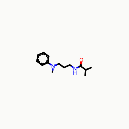 CC(C)C(=O)NCCCN(C)c1ccccc1